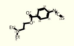 CCN(CC)CCOC(=O)c1ccc(N=C=S)cc1